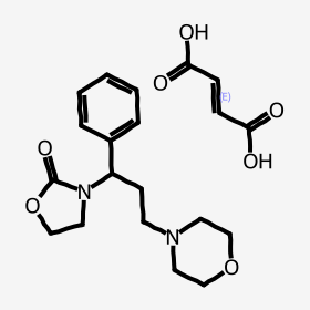 O=C(O)/C=C/C(=O)O.O=C1OCCN1C(CCN1CCOCC1)c1ccccc1